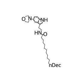 CCCCCCCCCCCCCCCCCCCCCC(=O)NCCc1c[nH]c2ccc(N3CCOCC3)cc12